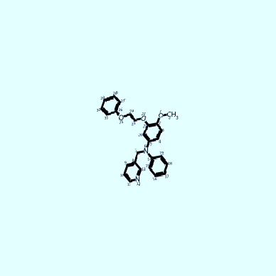 COc1ccc(N(Cc2cccnc2)c2ccccc2)cc1OCCOc1ccccc1